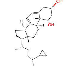 C[C@H](/C=C/[C@H](C)[C@H]1CC[C@H]2C3=CC=C4C[C@@H](O)C[C@H](O)[C@]4(C)[C@H]3CC[C@]12C)C1CC1